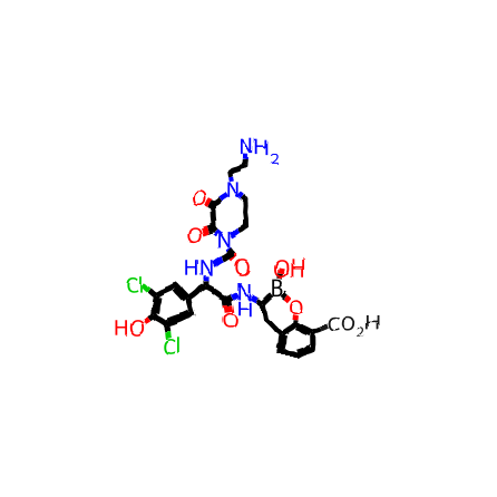 NCCN1CCN(C(=O)NC(C(=O)NC2Cc3cccc(C(=O)O)c3OB2O)c2cc(Cl)c(O)c(Cl)c2)C(=O)C1=O